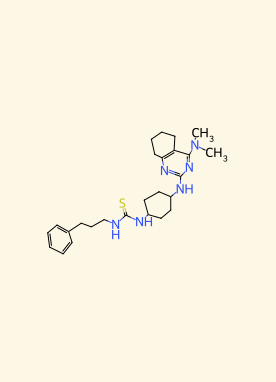 CN(C)c1nc(NC2CCC(NC(=S)NCCCc3ccccc3)CC2)nc2c1CCCC2